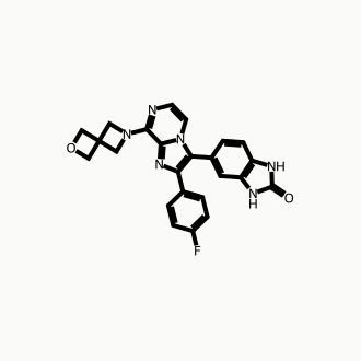 O=c1[nH]c2ccc(-c3c(-c4ccc(F)cc4)nc4c(N5CC6(COC6)C5)nccn34)cc2[nH]1